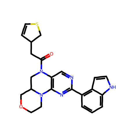 O=C(CC1C=CSC1)N1CC2COCCN2c2nc(-c3cccc4[nH]ccc34)ncc21